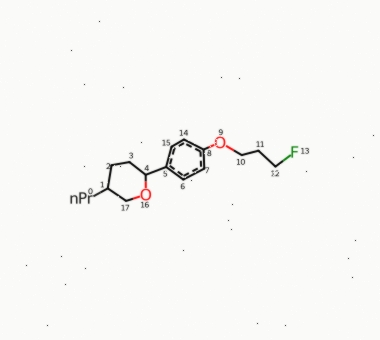 CCCC1CCC(c2ccc(OCCCF)cc2)OC1